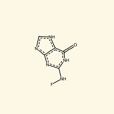 O=c1[nH]c(NF)nc2nc[nH]c12